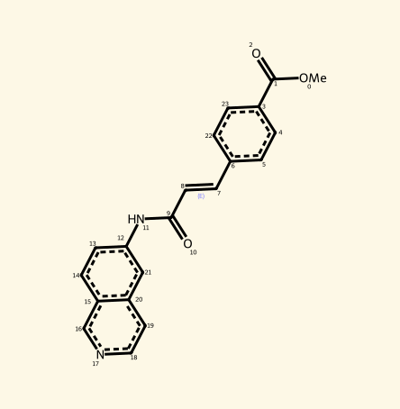 COC(=O)c1ccc(/C=C/C(=O)Nc2ccc3cnccc3c2)cc1